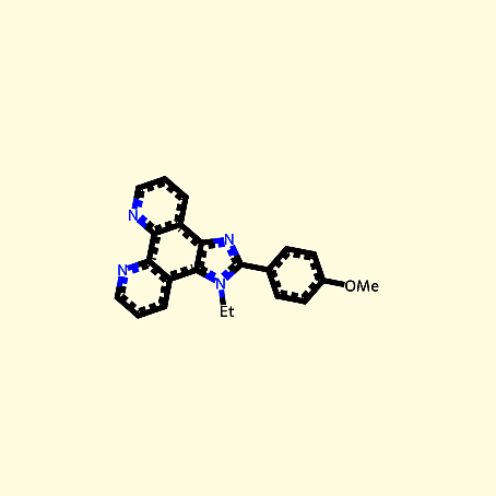 CCn1c(-c2ccc(OC)cc2)nc2c3cccnc3c3ncccc3c21